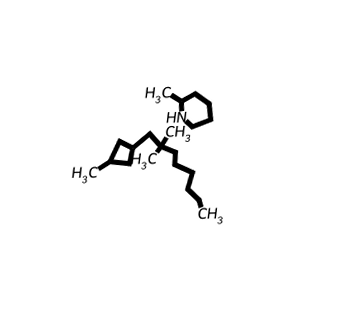 CC1CCCCN1.CCCCCCC(C)(C)CC1CC(C)C1